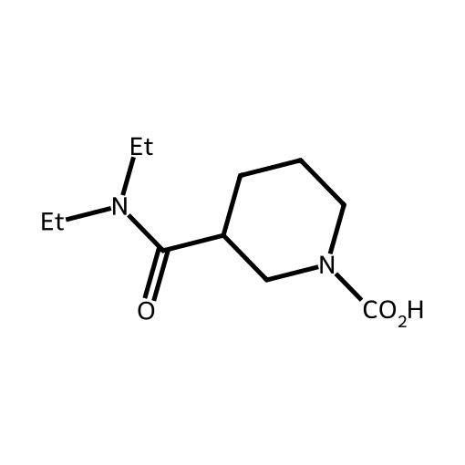 CCN(CC)C(=O)C1CCCN(C(=O)O)C1